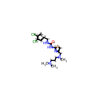 CN(C)CCCN(C)Cc1csc(NC(=O)NCc2ccc(Cl)c(Cl)c2)n1